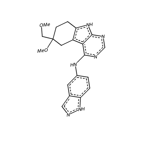 COCC1(OC)CCc2[nH]c3ncnc(Nc4ccc5[nH]ncc5c4)c3c2C1